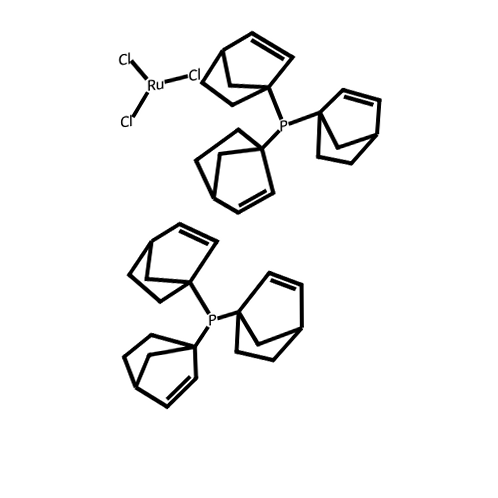 C1=CC2(P(C34C=CC(CC3)C4)C34C=CC(CC3)C4)CCC1C2.C1=CC2(P(C34C=CC(CC3)C4)C34C=CC(CC3)C4)CCC1C2.[Cl][Ru]([Cl])[Cl]